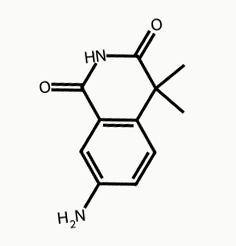 CC1(C)C(=O)NC(=O)c2cc(N)ccc21